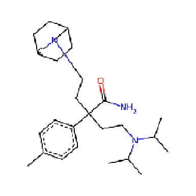 Cc1ccc(C(CCN2CC3CCC(CC3)C2)(CCN(C(C)C)C(C)C)C(N)=O)cc1